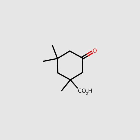 CC1(C)CC(=O)CC(C)(C(=O)O)C1